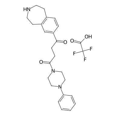 O=C(CCC(=O)N1CCN(c2ccccc2)CC1)c1ccc2c(c1)CCNCC2.O=C(O)C(F)(F)F